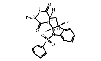 CCC[C@]12C[C@H]3C(=O)N[C@@H](CC)C(=O)N3[C@H]1N(S(=O)(=O)c1ccccc1)c1ccccc12